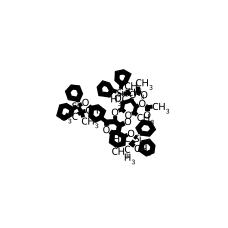 CC(=O)OC1C(C)OC(Oc2c(-c3ccc(O[Si](c4ccccc4)(c4ccccc4)C(C)(C)C)cc3)oc3cc(C)cc(O[Si](c4ccccc4)(c4ccccc4)C(C)(C)C)c3c2=O)C(O[Si](c2ccccc2)(c2ccccc2)C(C)(C)C)C1OC(C)=O